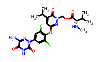 CN[C@H](C(=O)OCn1nc(Oc2c(Cl)cc(-n3nc(N)c(=O)[nH]c3=O)cc2Cl)cc(C(C)C)c1=O)C(C)C